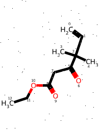 C=CC(C)(C)C(=O)CC(=O)OCC